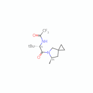 C[C@@H]1CC2(CC2)CN1C(=O)[C@@H](NC(=O)C(F)(F)F)C(C)(C)C